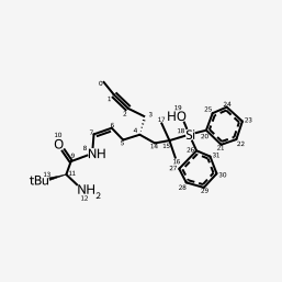 CC#CC[C@@H](C/C=C\NC(=O)[C@@H](N)C(C)(C)C)CC(C)(C)[Si](O)(c1ccccc1)c1ccccc1